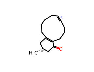 C[C@H]1CC(=O)C2=C(CCCC/C=C/CCC2)C1